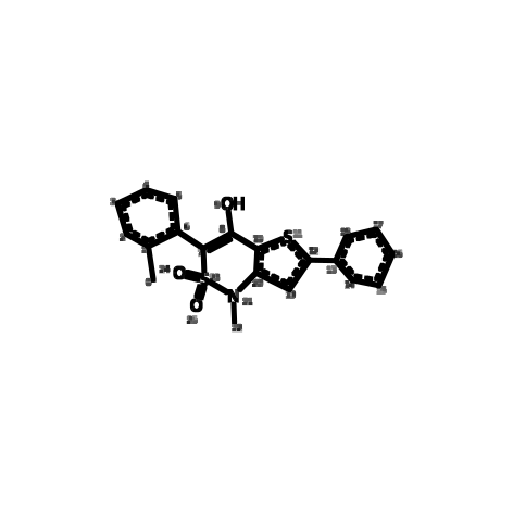 Cc1ccccc1C1=C(O)c2sc(-c3ccccc3)cc2N(C)S1(=O)=O